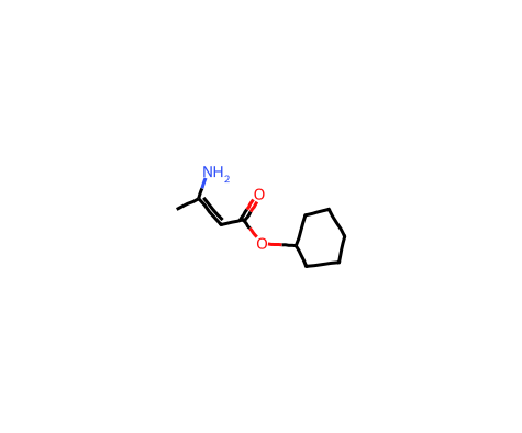 CC(N)=CC(=O)OC1CCCCC1